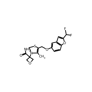 CC1=C(COc2ccc3oc(C(F)F)cc3c2)SCN1C1(C(N)=O)COC1